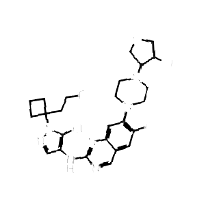 OC1COCC1N1CCN(c2cc3nc(Nc4cnn(C5(CCF)CCC5)c4Cl)ncc3cc2Cl)CC1